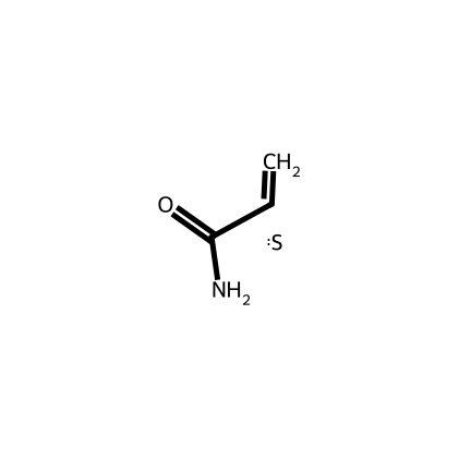 C=CC(N)=O.[S]